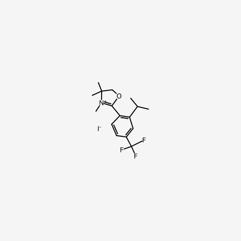 CC(C)c1cc(C(F)(F)F)ccc1C1=[N+](C)C(C)(C)CO1.[I-]